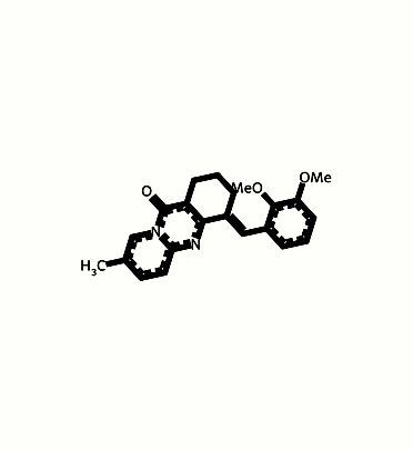 COc1cccc(/C=C2\CCCc3c2nc2ccc(C)cn2c3=O)c1OC